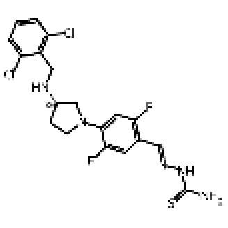 NC(=S)NN=Cc1cc(F)c(N2CC[C@H](NCc3c(Cl)cccc3Cl)C2)cc1F